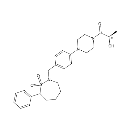 C[C@@H](O)C(=O)N1CCN(c2ccc(CN3CCCCC(c4ccccc4)S3(=O)=O)cc2)CC1